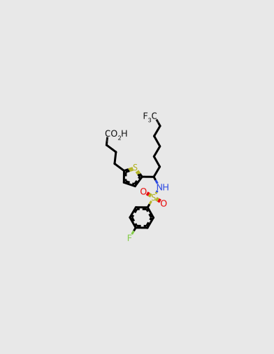 O=C(O)CCCc1ccc(C(CCCCCC(F)(F)F)NS(=O)(=O)c2ccc(F)cc2)s1